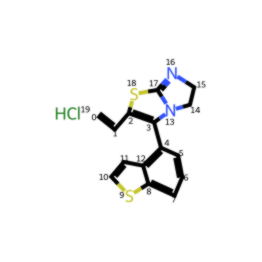 C=CC1=C(c2cccc3sccc23)N2CCN=C2S1.Cl